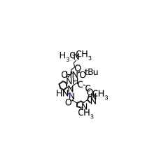 Cc1cc2cc(n1)-c1cnn(C)c1OCCCCCN1/C(=N/C2=O)Nc2cccc(NC(=O)C(CCCCN(C)C)NC(=O)OC(C)(C)C)c21